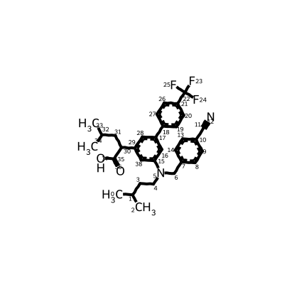 CC(C)CCN(Cc1ccc(C#N)cc1)c1cc(-c2ccc(C(F)(F)F)cc2)cc(C(CC(C)C)C(=O)O)c1